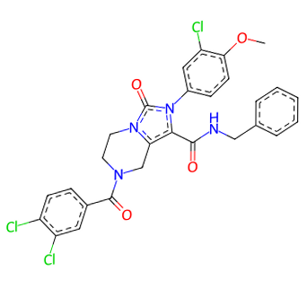 COc1ccc(-n2c(C(=O)NCc3ccccc3)c3n(c2=O)CCN(C(=O)c2ccc(Cl)c(Cl)c2)C3)cc1Cl